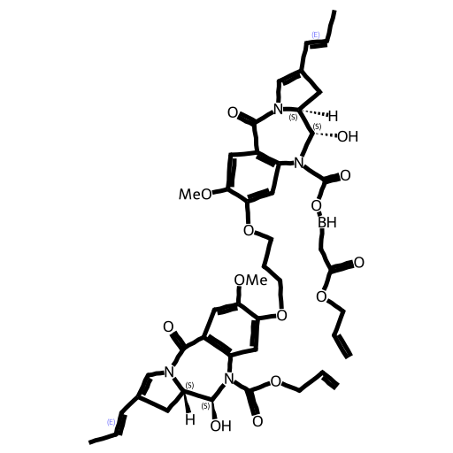 C=CCOC(=O)CBOC(=O)N1c2cc(OCCCOc3cc4c(cc3OC)C(=O)N3C=C(/C=C/C)C[C@H]3[C@H](O)N4C(=O)OCC=C)c(OC)cc2C(=O)N2C=C(/C=C/C)C[C@H]2[C@@H]1O